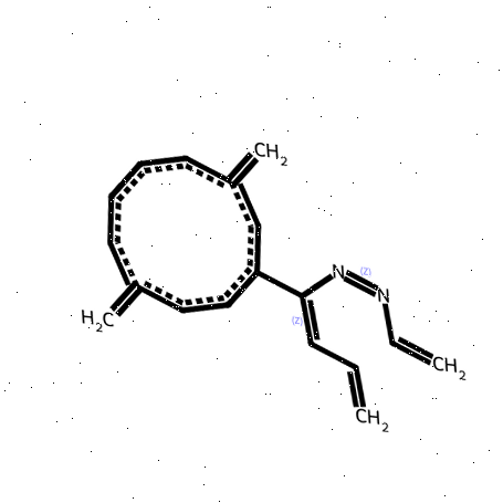 C=C/C=C(\N=N/C=C)c1ccc(=C)ccccc(=C)c1